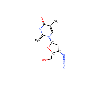 C=C1NC(=O)C(C)=CN1[C@H]1C[C@@H](N=[N+]=[N-])[C@@H](CO)O1